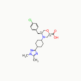 Cc1nc(C2CCC(N3C[C@H](C(=O)O)OC[C@@H]3Cc3ccc(Cl)cc3)CC2)nn1C